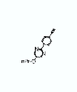 C#Cc1ccc(-c2ncc(OCCC)cn2)cc1